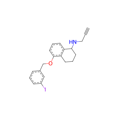 C#CCNC1CCCc2c(OCc3cccc(I)c3)cccc21